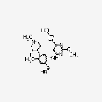 COc1nc(Nc2cc(C3CCN(C)CC3F)c(C)cc2C=N)cc(C2CC(O)C2)n1